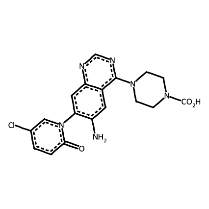 Nc1cc2c(N3CCN(C(=O)O)CC3)ncnc2cc1-n1cc(Cl)ccc1=O